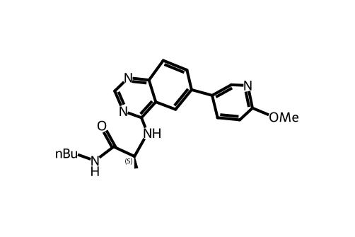 CCCCNC(=O)[C@H](C)Nc1ncnc2ccc(-c3ccc(OC)nc3)cc12